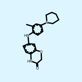 Cc1cc(N2CCCCC2)ccc1Nc1ccc2c(c1)OCC(=O)N2